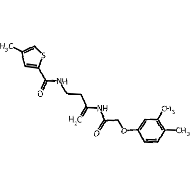 C=C(CCNC(=O)c1cc(C)cs1)NC(=O)COc1ccc(C)c(C)c1